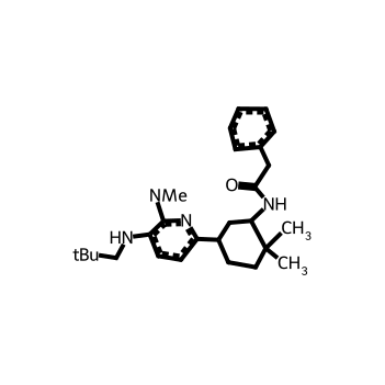 CNc1nc(C2CCC(C)(C)C(NC(=O)Cc3ccccc3)C2)ccc1NCC(C)(C)C